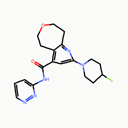 O=C(Nc1cccnn1)c1cc(N2CCC(F)CC2)nc2c1CCOCC2